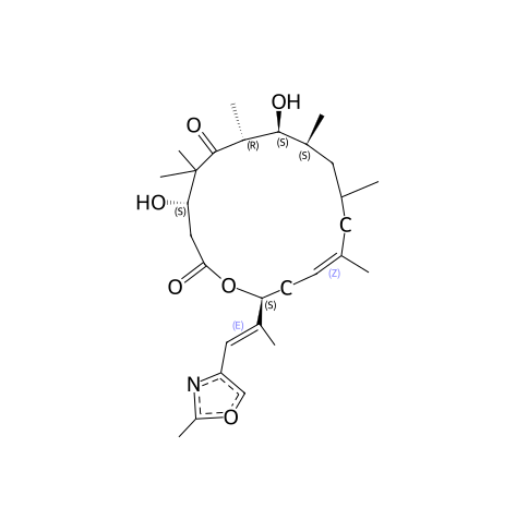 C/C1=C/C[C@@H](/C(C)=C/c2coc(C)n2)OC(=O)C[C@H](O)C(C)(C)C(=O)[C@H](C)[C@@H](O)[C@@H](C)CC(C)C1